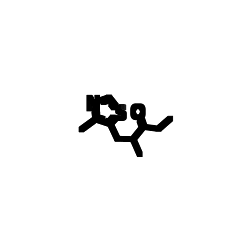 CCC(=O)C(C)Cc1scnc1C